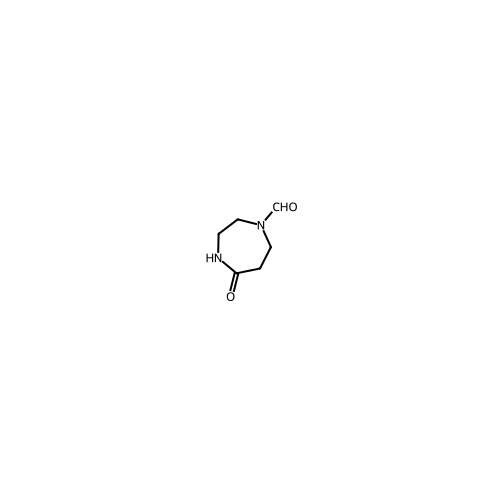 O=CN1CCNC(=O)CC1